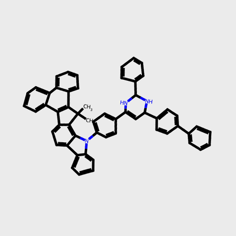 CC1(C)c2c(c3ccccc3c3ccccc23)-c2ccc3c4ccccc4n(-c4ccc(C5=CC(c6ccc(-c7ccccc7)cc6)NC(c6ccccc6)N5)cc4)c3c21